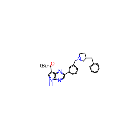 CC(C)(C)C(=O)c1c[nH]c2ncc(-c3cccc(CN4CCC(Cc5ccccc5)C4)c3)nc12